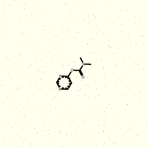 CN(C)C(=O)Oc1ccncn1